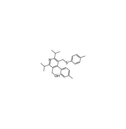 Cc1ccc(SCc2c(C(C)C)nc(C(C)C)c(CO)c2-c2ccc(C)cc2)cc1